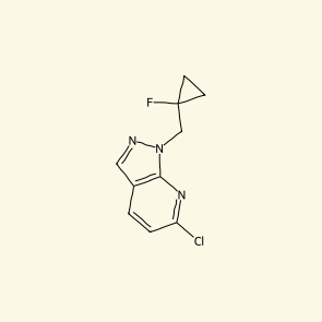 FC1(Cn2ncc3ccc(Cl)nc32)CC1